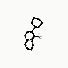 Cl.Pc1c(-c2ccccc2)ccc2ccccc12